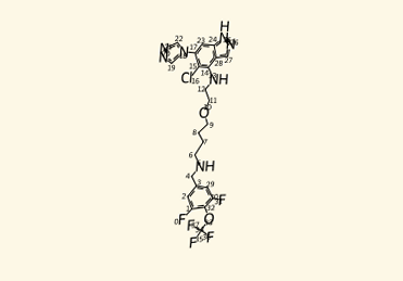 Fc1cc(CNCCCCOCCNc2c(Cl)c(-n3cnnc3)cc3[nH]ncc23)cc(F)c1OC(F)(F)F